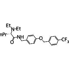 CCC[C@@H](C(=O)NCc1ccc(OCc2ccc(C(F)(F)F)cc2)cc1)N(CC)CC